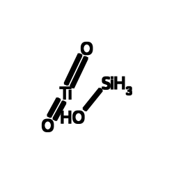 O[SiH3].[O]=[Ti]=[O]